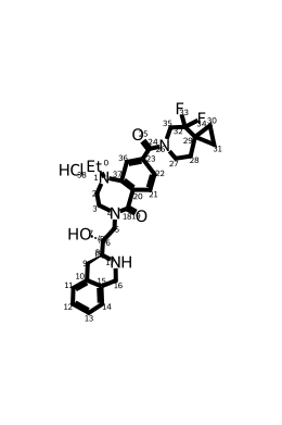 CCN1CCN(C[C@@H](O)[C@@H]2Cc3ccccc3CN2)C(=O)c2ccc(C(=O)N3CCC4(CC4)C(F)(F)C3)cc21.Cl